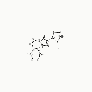 O=C1NCCN1c1nc2c3c(ccc2s1)OCCO3